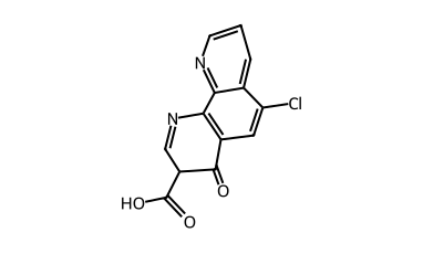 O=C(O)C1C=Nc2c(cc(Cl)c3cccnc23)C1=O